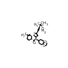 CC1=CC[C@H](C(=O)N(c2csc(C#CC(C)(C)C)c2)C2CCC3(CC2)OCCO3)CC1